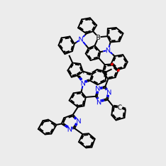 Cc1ccc2c(c1)c1cc(C)ccc1n2-c1ccc(-c2cc(-c3ccccc3)nc(-c3ccccc3)n2)cc1-c1nc(-c2ccccc2)nc(-c2cccc(-c3ccc4c5c3N(c3ccccc3)c3ccccc3B5c3ccccc3N4c3ccccc3)c2)n1